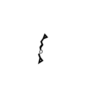 C(=C\OCC1CC1)/CC1CC1